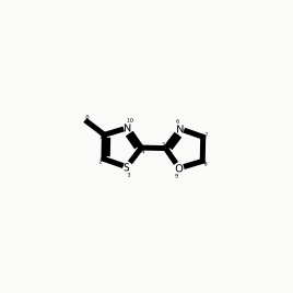 Cc1csc(C2=NCCO2)n1